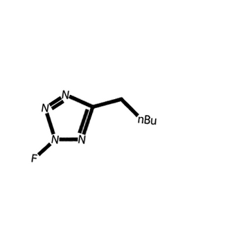 CCCCCc1nnn(F)n1